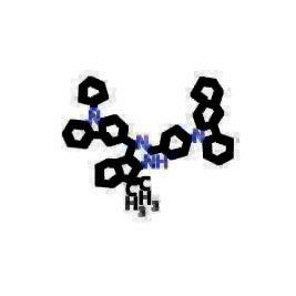 CC1(C)C2=C(C(c3ccc4c(c3)c3ccccc3n4-c3ccccc3)=NC(c3ccc(-n4c5ccccc5c5cc6ccccc6cc54)cc3)N2)c2ccccc21